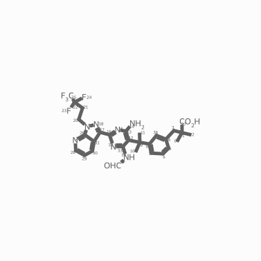 CC(C)(Cc1cccc(C(C)(C)c2c(N)nc(-c3nn(CCC(F)(F)C(F)(F)F)c4ncccc34)nc2NC=O)c1)C(=O)O